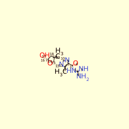 Cc1c(C(=O)NC(=N)N)ncn1C[C@@H]1O[C@H](CO)CC1C